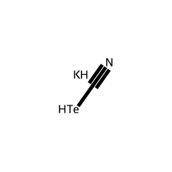 N#C[TeH].[KH]